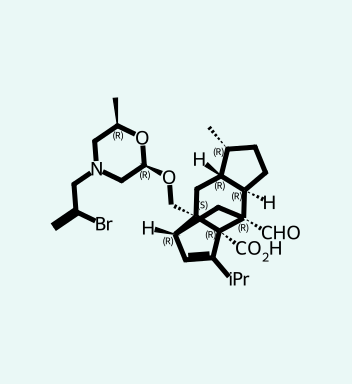 C=C(Br)CN1C[C@H](OC[C@@]23C[C@@H]4[C@H](C)CC[C@H]4[C@]4(C=O)C[C@@H]2C=C(C(C)C)[C@@]34C(=O)O)O[C@H](C)C1